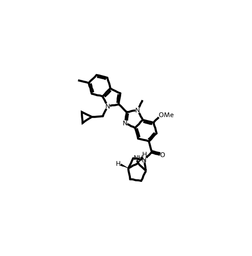 COc1cc(C(=O)N2C[C@H]3CCC2[C@H]3N)cc2nc(-c3cc4ccc(C)cc4n3CC3CC3)n(C)c12